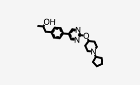 CC(O)Cc1ccc(-c2cnc(OC3CCN(C4CCCC4)CC3)nc2)cc1